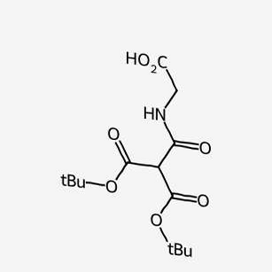 CC(C)(C)OC(=O)C(C(=O)NCC(=O)O)C(=O)OC(C)(C)C